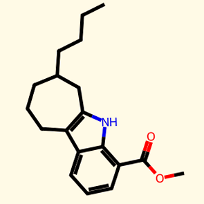 CCCCC1CCCc2c([nH]c3c(C(=O)OC)cccc23)C1